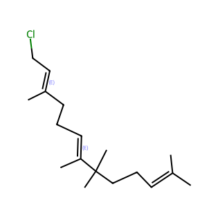 CC(C)=CCCC(C)(C)/C(C)=C/CC/C(C)=C/CCl